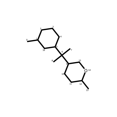 CC1CCCC(C(C)(C)C2CCC(C)OC2)C1